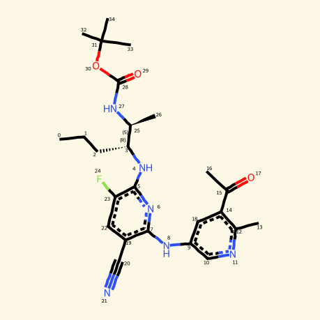 CCC[C@@H](Nc1nc(Nc2cnc(C)c(C(C)=O)c2)c(C#N)cc1F)[C@H](C)NC(=O)OC(C)(C)C